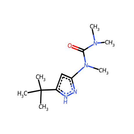 CN(C)C(=O)N(C)c1cc(C(C)(C)C)[nH]n1